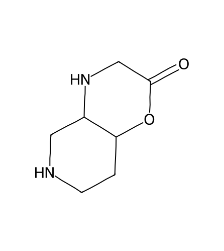 O=C1CNC2CNCCC2O1